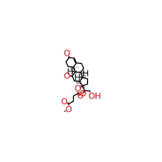 COC(=O)CCC(=O)O[C@]1(C(=O)CO)CC[C@H]2[C@@H]3CCC4=CC(=O)CC[C@]4(C)[C@H]3C(=O)C[C@@]21C